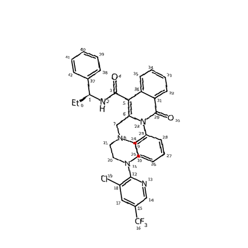 CC[C@H](NC(=O)c1c(CN2CCN(c3ncc(C(F)(F)F)cc3Cl)CC2)n(-c2ccccc2)c(=O)c2ccccc12)c1ccccc1